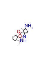 Cc1c(N)ccc2nc(N[C@@H](C)c3ccccc3)oc(=O)c12